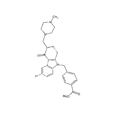 COC(=O)c1ccc(Cn2c3c(c4cc(F)ccc42)C(=O)C(CN2CCN(C)CC2)CC3)cc1